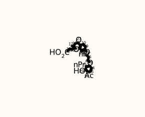 CCCc1c(OCCCOc2ccc3c(c2CCC)OC(C)(C=CC(=O)O)CC3=O)ccc(C(C)=O)c1O